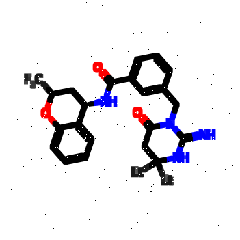 CCC1(CC)CC(=O)N(Cc2cccc(C(=O)N[C@@H]3CC(C(F)(F)F)Oc4ccccc43)c2)C(=N)N1